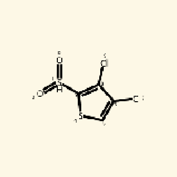 O=[SH](=O)c1scc(Cl)c1Cl